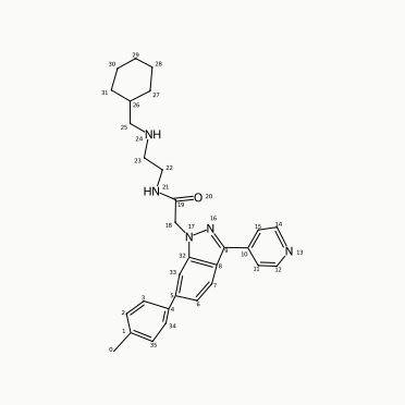 Cc1ccc(-c2ccc3c(-c4ccncc4)nn(CC(=O)NCCNCC4CCCCC4)c3c2)cc1